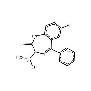 C[C@@H](O)C1N=C(c2ccccc2)c2cc(Cl)ccc2NC1=O